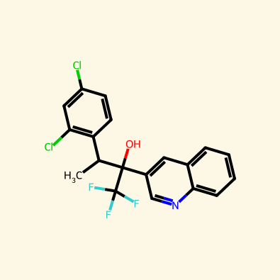 CC(c1ccc(Cl)cc1Cl)C(O)(c1cnc2ccccc2c1)C(F)(F)F